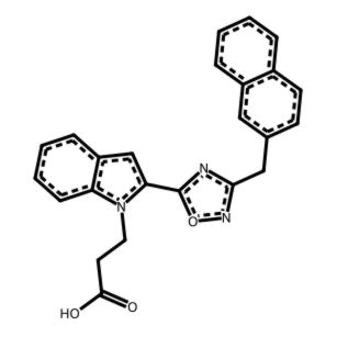 O=C(O)CCn1c(-c2nc(Cc3ccc4ccccc4c3)no2)cc2ccccc21